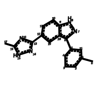 Cc1cccc(-c2n[nH]c3ccc(-c4n[nH]c(C)n4)cc23)c1